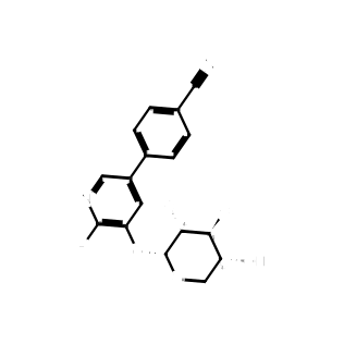 N#Cc1ccc(-c2cnc(F)c(O[C@H]3OC[C@@H](O)[C@H](O)[C@H]3O)c2)cc1